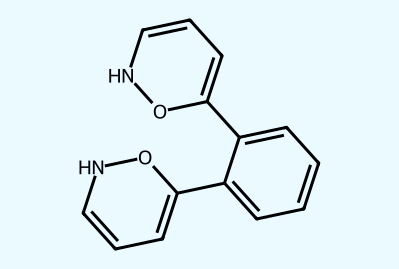 C1=CNOC(c2ccccc2C2=CC=CNO2)=C1